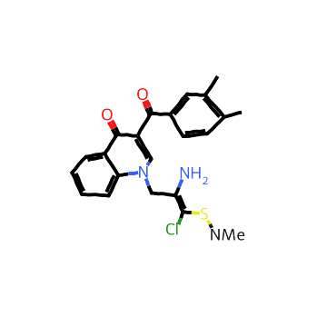 CNS/C(Cl)=C(\N)Cn1cc(C(=O)c2ccc(C)c(C)c2)c(=O)c2ccccc21